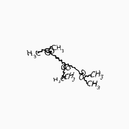 CCCCC(CCCC)OC(=O)CCCCCCCCC(CCCCCCCCC(=O)OC(CCCC)CCCC)OC(=O)CCCN(C)C